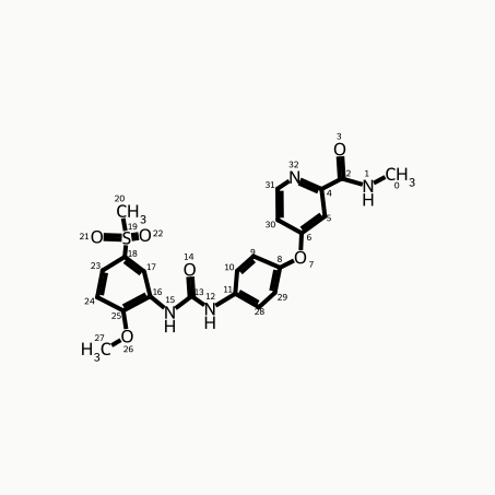 CNC(=O)c1cc(Oc2ccc(NC(=O)Nc3cc(S(C)(=O)=O)ccc3OC)cc2)ccn1